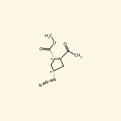 COC(=O)[C@H]1C[C@@H](N=[N+]=[N-])CN1C(C)=O